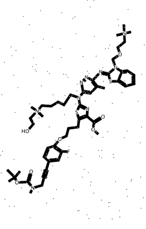 COC(=O)c1nc(N(CCCCC[N+](C)(C)CCO)c2cc(C)c(/N=c3\sc4ccccc4n3COCC[Si](C)(C)C)nn2)sc1CCCOc1ccc(C#CCN(C)C(=O)OC(C)(C)C)cc1F